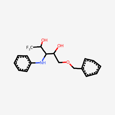 OC(COCc1ccccc1)C(Nc1ccccc1)C(O)C(F)(F)F